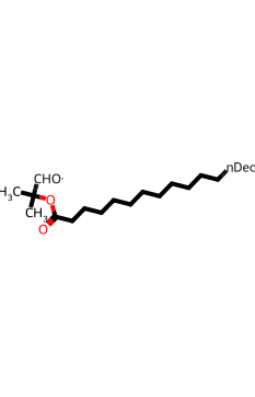 CCCCCCCCCCCCCCCCCCCCCC(=O)OC(C)(C)[C]=O